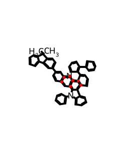 CC1(C)c2ccccc2-c2cc(-c3cccc(N(c4ccc5c6ccccc6n(-c6ccccc6)c5c4)c4cccc(-c5ccccc5)c4-c4ccccc4-c4ccccc4)c3)ccc21